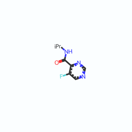 CC(C)NC(=O)c1ncncc1F